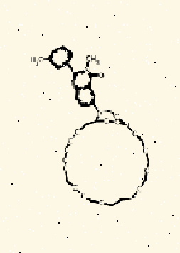 Cc1cccc(-c2nc3ccc(N4CCN5CCCCCCCCCCCCCCCCCCCCCC4CC5)cc3c(=O)n2C)c1